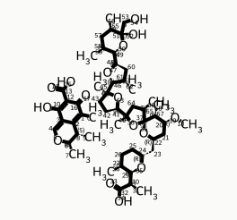 CC1=C2C(=CO[C@H](C)[C@H]2C)C(O)=C(C(=O)O)C1=O.CO[C@@H]1C[C@@H](C[C@H]2CC[C@H](C)[C@H]([C@@H](C)C(=O)O)O2)O[C@]2(O[C@](C)([C@H]3CC[C@@](C)([C@@H]4O[C@@H]([C@H]5O[C@@](O)(CO)[C@H](C)C[C@@H]5C)C[C@@H]4C)O3)C[C@H]2C)[C@@H]1C